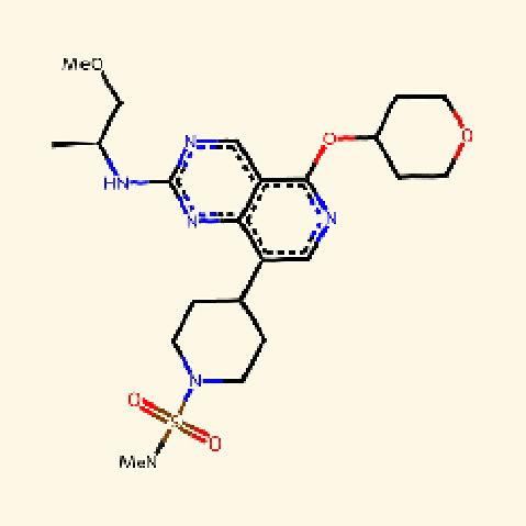 CNS(=O)(=O)N1CCC(c2cnc(OC3CCOCC3)c3cnc(N[C@@H](C)COC)nc23)CC1